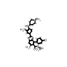 Cc1cc2nc(-c3ccc(NC4CCN(C)CC4)c(N)c3)sc2c(-c2ccc(Cl)cc2)c1C(OC(C)(C)C)C(=O)O